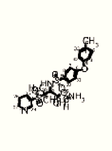 Cc1ccc(Oc2ccc(S(=O)(=O)NC(C(=O)O)C(C)(C)S(=O)(=O)c3cccnc3)cc2)cc1.NO